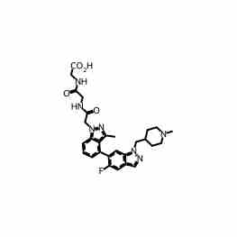 Cc1nn(CC(=O)NCC(=O)NCC(=O)O)c2cccc(-c3cc4c(cnn4CC4CCN(C)CC4)cc3F)c12